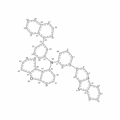 c1cc(-c2ccc3c(c2)sc2ccccc23)cc(N(c2cccc(-c3cccc4ccccc34)c2)c2cccc3oc4ccccc4c23)c1